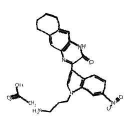 CC(=O)O.NCCCn1cc(-c2nc3cc4c(cc3[nH]c2=O)CCCC4)c2ccc([N+](=O)[O-])cc21